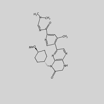 CO[C@H]1CC[C@H](CN2C(=O)CNc3ncc(-c4cnc(C(=O)/N=C\N(C)C)cc4C)nc32)CC1